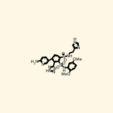 COc1ccc(OC)c(NS(=O)(=O)c2c(S(=O)(=O)NCCc3c[nH]cn3)ccc(-c3ccc(N)nc3)c2-c2nn[nH]n2)c1